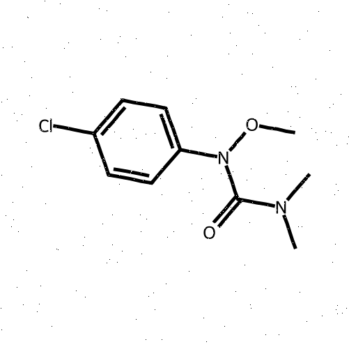 CON(C(=O)N(C)C)c1ccc(Cl)cc1